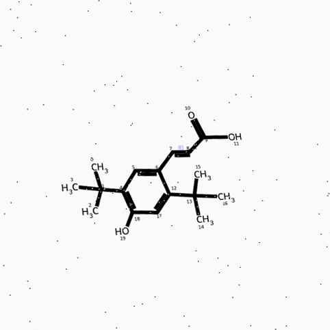 CC(C)(C)c1cc(/C=C/C(=O)O)c(C(C)(C)C)cc1O